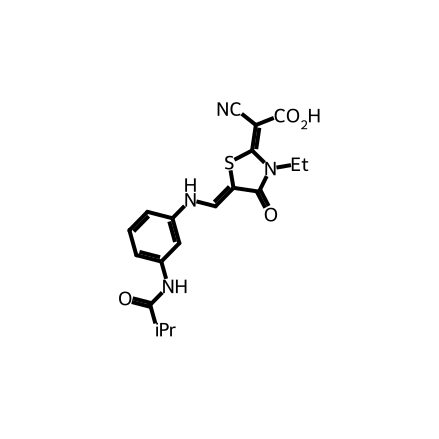 CCn1c(=C(C#N)C(=O)O)sc(=CNc2cccc(NC(=O)C(C)C)c2)c1=O